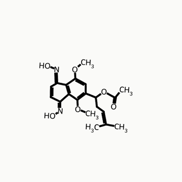 COc1cc(C(CC=C(C)C)OC(C)=O)c(OC)c2c1C(=NO)C=CC2=NO